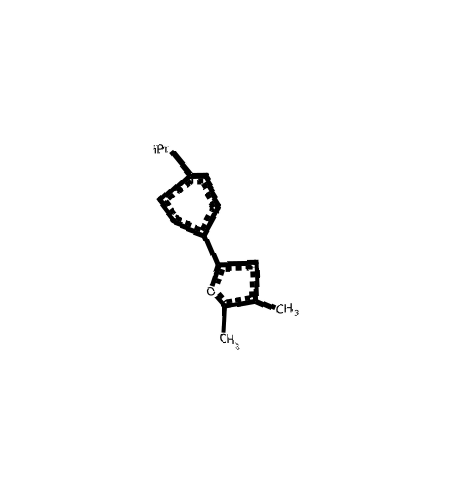 Cc1cc(-c2ccc(C(C)C)cc2)oc1C